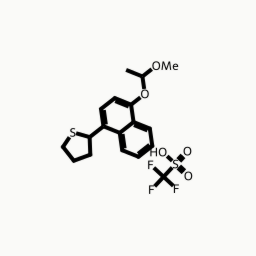 COC(C)Oc1ccc(C2CCCS2)c2ccccc12.O=S(=O)(O)C(F)(F)F